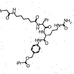 CC(C)C(=O)OCc1ccc(NC(=O)[C@H](CCCNC(N)=O)NC(=O)C(NC(=O)CCCCCNC(=O)CBr)C(C)C)cc1